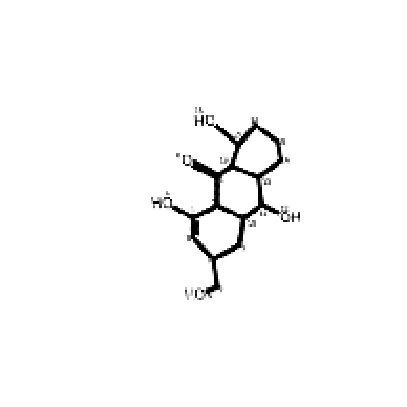 O=C1C2C(O)=CC(CO)CC2C(O)C2CCCC(O)C12